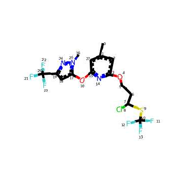 Cc1cc(OCCC(Cl)SC(F)(F)F)nc(Oc2cc(C(F)(F)F)nn2C)c1